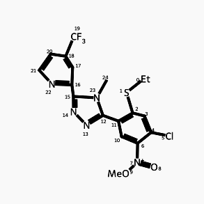 CCSc1cc(Cl)c([N+](=O)OC)cc1-c1nnc(-c2cc(C(F)(F)F)ccn2)n1C